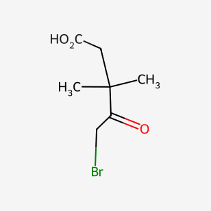 CC(C)(CC(=O)O)C(=O)CBr